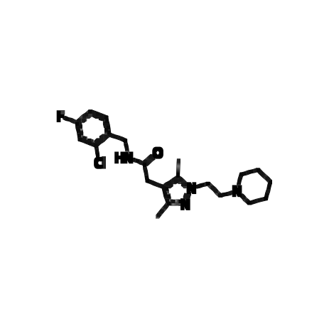 Cc1nn(CCN2CCCCC2)c(C)c1CC(=O)NCc1ccc(F)cc1Cl